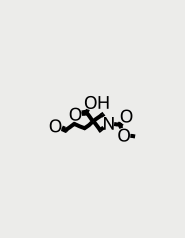 COC(=O)N1CC(CCC=O)(C(=O)O)C1